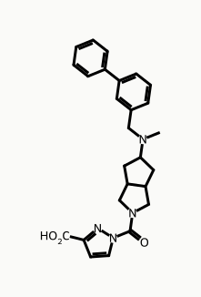 CN(Cc1cccc(-c2ccccc2)c1)C1CC2CN(C(=O)n3ccc(C(=O)O)n3)CC2C1